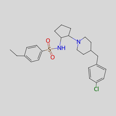 CCc1ccc(S(=O)(=O)NC2CCCC2N2CCC(Cc3ccc(Cl)cc3)CC2)cc1